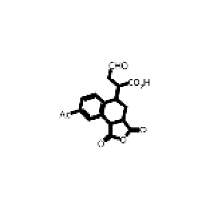 CC(=O)c1ccc2c(c1)C1C(=O)OC(=O)C1CC2C(CC=O)C(=O)O